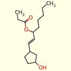 CCCCCC(C=CC1CCC(O)C1)OC(=O)CC